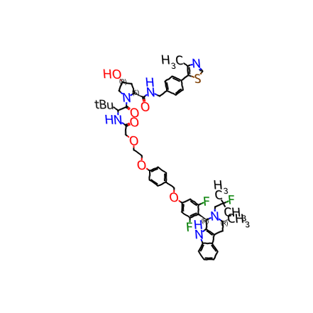 Cc1ncsc1-c1ccc(CNC(=O)[C@@H]2C[C@@H](O)CN2C(=O)C(NC(=O)COCCOc2ccc(COc3cc(F)c([C@@H]4c5[nH]c6ccccc6c5C[C@@H](C)N4CC(C)(C)F)c(F)c3)cc2)C(C)(C)C)cc1